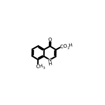 Cc1cccc2c(=O)c(C(=O)O)c[nH]c12